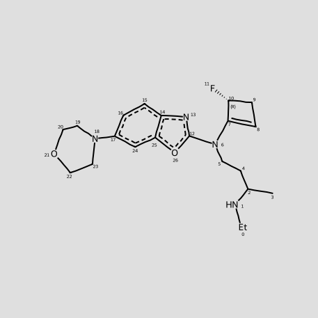 CCNC(C)CCN(C1=CC[C@H]1F)c1nc2ccc(N3CCOCC3)cc2o1